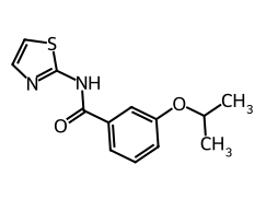 CC(C)Oc1cccc(C(=O)Nc2nccs2)c1